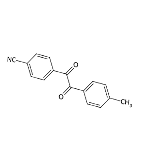 Cc1ccc(C(=O)C(=O)c2ccc(C#N)cc2)cc1